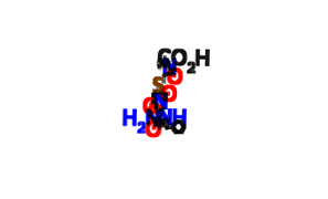 C[C@@H](C(=O)O)N(C)C(=O)CCSC1CC(=O)N(CC(=O)N[C@H](Cc2ccccc2)C(N)=O)C1=O